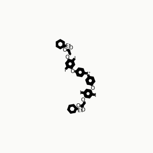 CCC1(OC(=O)COc2cc(I)c(Oc3ccc([I+]c4ccc(Oc5cc(I)c(OCC(=O)OC6(CC)CCCCC6)cc5I)cc4)cc3)cc2I)CCCCC1